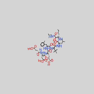 CCCC[C@H](NC(=O)[C@H](CC(C)C)NC(=O)[C@@H](NC(=O)[C@H](Cc1ccccc1C)NC(=O)[C@H](CCC(=O)O)NC(=O)[C@H](CC(=O)O)NC(=O)CCC(=O)O)C(C)(C)C)C(=O)C(=O)NCCC